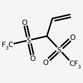 C=CC(S(=O)(=O)C(F)(F)F)S(=O)(=O)C(F)(F)F